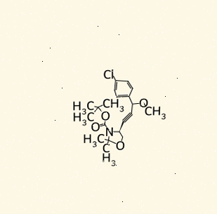 COC(C#C[C@H]1COC(C)(C)N1C(=O)OC(C)(C)C)c1ccc(Cl)cc1